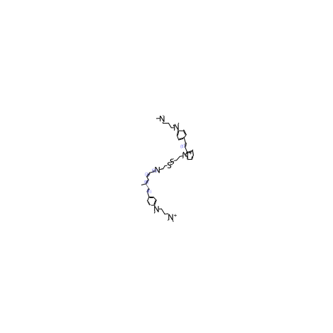 CC(/C=C/c1ccc(N(C)CCC[N+](C)(C)C)cc1)=C\C=C/C=N/CCSSCC[n+]1ccccc1/C=C/c1ccc(N(C)CCCN(C)C)cc1